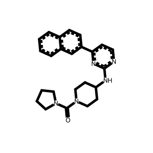 O=C(N1CCCC1)N1CCC(Nc2nccc(-c3ccc4ccccc4c3)n2)CC1